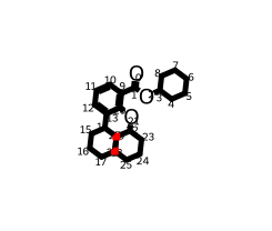 O=C(OC1CCCCC1)c1cccc(C2CCCCC2)c1OC1CCCCC1